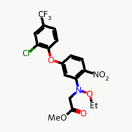 CCON(CC(=O)OC)c1cc(Oc2ccc(C(F)(F)F)cc2Cl)ccc1[N+](=O)[O-]